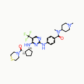 CN1CCC(N(C)C(=O)c2ccc(Nc3ncc(C(F)(F)F)c(N[C@@H]4CCC[C@@H]4C(=O)N4CCSCC4)n3)cc2)CC1